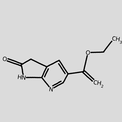 C=C(OCC)c1cnc2c(c1)CC(=O)N2